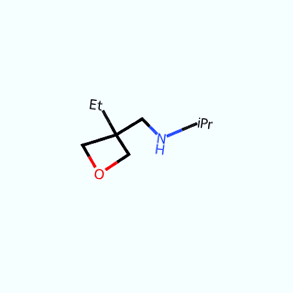 CCC1(CNC(C)C)COC1